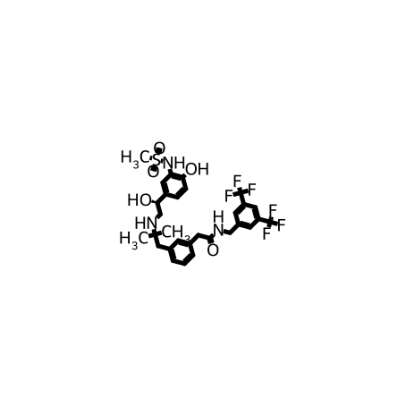 CC(C)(Cc1cccc(CC(=O)NCc2cc(C(F)(F)F)cc(C(F)(F)F)c2)c1)NC[C@@H](O)c1ccc(O)c(NS(C)(=O)=O)c1